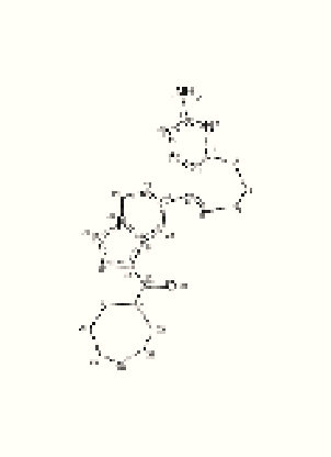 Nc1ncc2c(n1)CCCC=C2c1ccn2ncc(C(=O)C3CCCCCC3)c2c1